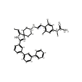 CC=C1NC(c2cccc(-c3cccc(-c4ccccc4)c3)c2)=NC12CCN(O/C=C/c1c(C)cc(N(C)C(N)=O)cc1C)CC2